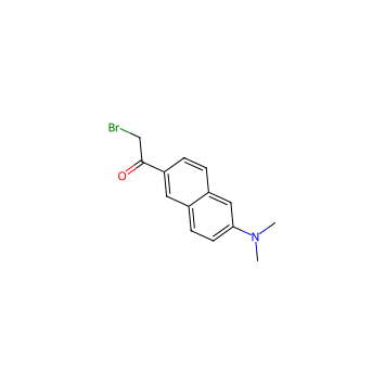 CN(C)c1ccc2cc(C(=O)CBr)ccc2c1